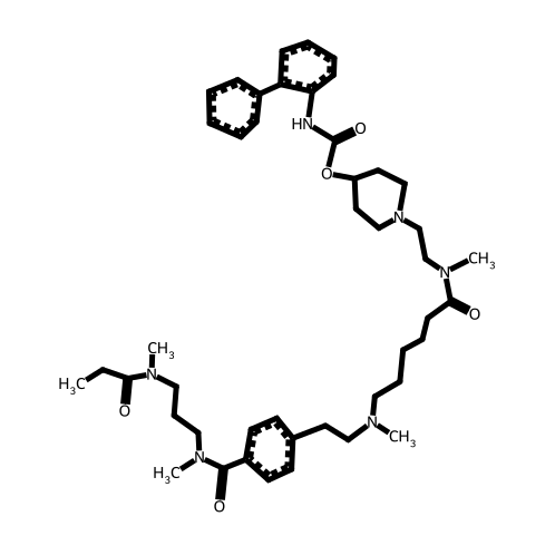 CCC(=O)N(C)CCCN(C)C(=O)c1ccc(CCN(C)CCCCCC(=O)N(C)CCN2CCC(OC(=O)Nc3ccccc3-c3ccccc3)CC2)cc1